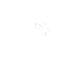 O=C1NC(=O)[C@@]2(C(=O)Nc3ccc(F)cc32)N1CC1CCCCC1